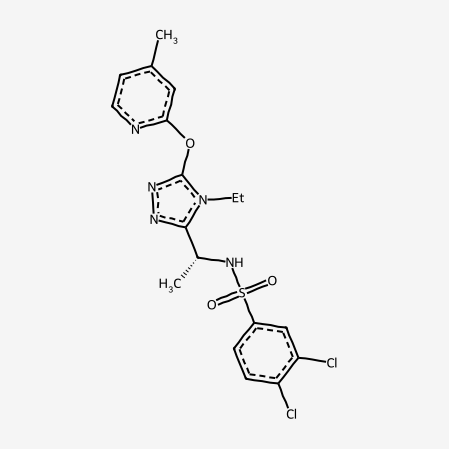 CCn1c(Oc2cc(C)ccn2)nnc1[C@@H](C)NS(=O)(=O)c1ccc(Cl)c(Cl)c1